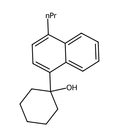 CCCc1ccc(C2(O)CCCCC2)c2ccccc12